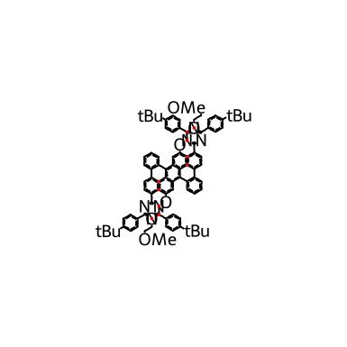 COCCOCCOc1ccc2c(-c3ccccc3-c3ccc(-c4nc(-c5ccc(C(C)(C)C)cc5)nc(-c5ccc(C(C)(C)C)cc5)n4)cc3)c3cc(OCCOCCOC)ccc3c(-c3ccccc3-c3ccc(-c4nc(-c5ccc(C(C)(C)C)cc5)nc(-c5ccc(C(C)(C)C)cc5)n4)cc3)c2c1